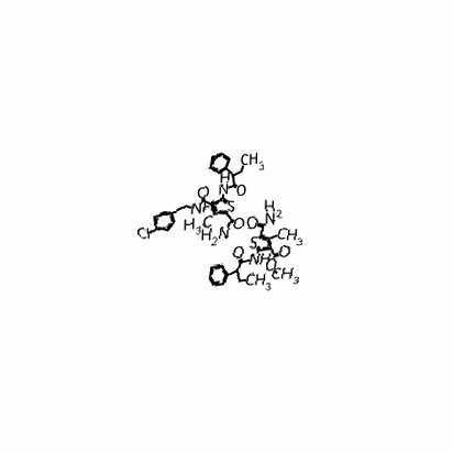 CCC(C(=O)Nc1sc(C(N)=O)c(C)c1C(=O)NCc1ccc(Cl)cc1)c1ccccc1.CCC(C(=O)Nc1sc(C(N)=O)c(C)c1C(=O)OC)c1ccccc1